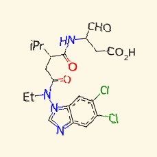 CCN(C(=O)CC(C(=O)NC(C=O)CC(=O)O)C(C)C)n1cnc2cc(Cl)c(Cl)cc21